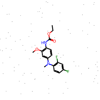 CCOC(=O)Nc1ccc(N(C)c2ccc(F)cc2F)cc1OC